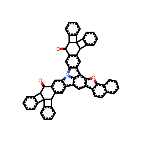 O=C1c2cc3c(cc2C2c4ccccc4C24c2ccccc2C14)c1cc2c4ccc5ccccc5c4oc2c2c4cc5c(cc4n3c12)C(=O)C1c2ccccc2C12c1ccccc1C52